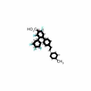 C[C@H]1CC[C@H](CCc2ccc(-c3cc(F)c(C(=O)O)c(F)c3-c3cc(F)c(F)c(F)c3)cc2)CC1